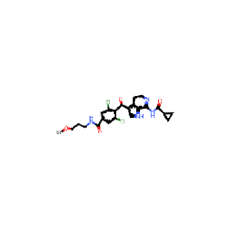 CCOCCCNC(=O)c1cc(Cl)c(C(=O)c2c[nH]c3c(NC(=O)C4CC4)nccc23)c(Cl)c1